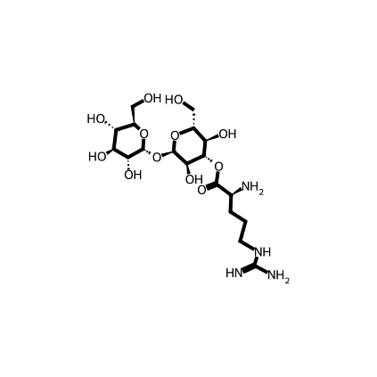 N=C(N)NCCC[C@H](N)C(=O)O[C@@H]1[C@@H](O)[C@@H](O[C@H]2O[C@H](CO)[C@@H](O)[C@H](O)[C@H]2O)O[C@H](CO)[C@H]1O